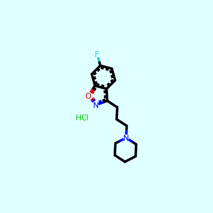 Cl.Fc1ccc2c(CCCN3CCCCC3)noc2c1